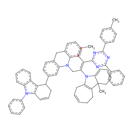 C/C=C\C(=C(/CN1c2ccccc2Cc2ccc(C3CC=Cc4c3c3ccccc3n4-c3ccccc3)cc21)N1C2=CC=CCC2(C)C2=C1CC=CCC2)c1nc(-c2ccccc2)nc(-c2ccc(C)cc2)n1